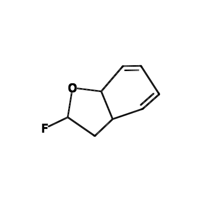 FC1CC2C=CC=CC2O1